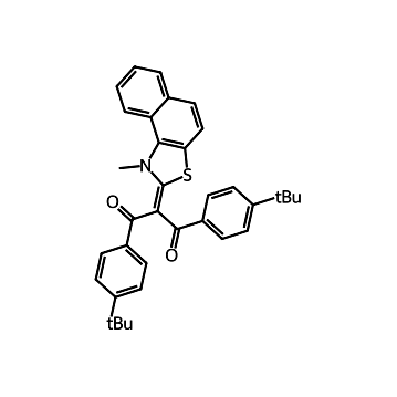 CN1C(=C(C(=O)c2ccc(C(C)(C)C)cc2)C(=O)c2ccc(C(C)(C)C)cc2)Sc2ccc3ccccc3c21